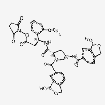 COc1ccccc1[C@H](CC(=O)ON1C(=O)CCC1=O)NC(=O)[C@@H]1C[C@@H](NC(=O)c2ccc3c(c2)B(O)OC3)CN1C(=O)c1ccc2c(c1)B(O)OC2